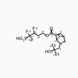 CCC(O)(CC)CC1CC2CC(C(=O)OCCC(F)C(F)(F)S(=O)(=O)O)C1S2